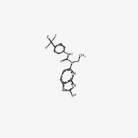 CCN(C(=O)Nc1ccc(C(F)(F)F)cc1)c1ccc2nc(S)sc2n1